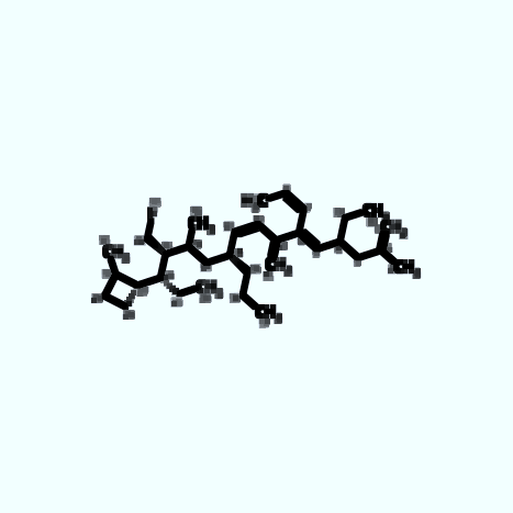 C=C(C)CC(/C=C(\C=C/C)C(=C)/C=C\[C@@H](CCC)CC(C)[C@H](CF)[C@H](CC)[C@@H]1CCC1C)CC